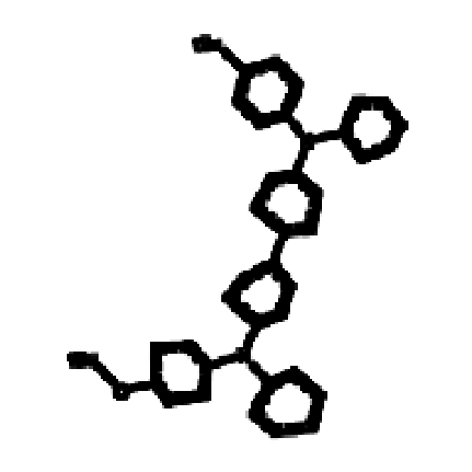 CC(C)(C)Oc1ccc(N(c2ccccc2)c2ccc(-c3ccc(N(c4ccccc4)c4ccc(C(C)(C)C)cc4)cc3)cc2)cc1